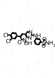 NS(=O)(=O)c1cccc(Nc2ncc3cc(-c4ccc(Cl)c(Cl)c4)c(=O)n(O)c3n2)c1